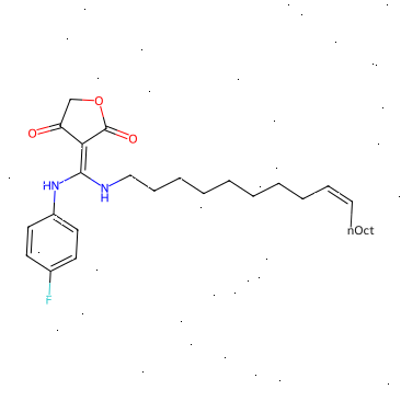 CCCCCCCC/C=C\CCCCCCCCNC(Nc1ccc(F)cc1)=C1C(=O)COC1=O